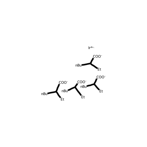 CCCCC(CC)C(=O)[O-].CCCCC(CC)C(=O)[O-].CCCCC(CC)C(=O)[O-].CCCCC(CC)C(=O)[O-].[Ir+4]